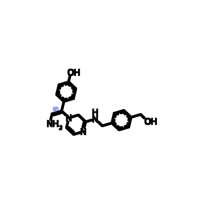 N/C=C(/c1ccc(O)cc1)N1C=CN=C(NCc2ccc(CO)cc2)C1